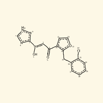 O=C(C=C(O)c1nc[nH]n1)c1ccoc1Cc1ccccc1Cl